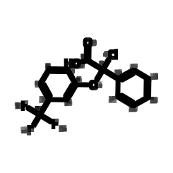 O=C(O)C(Cl)(Oc1cccc(C(F)(F)F)c1)c1ccccc1